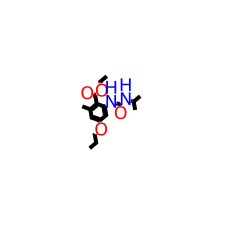 CCCOc1cc(C)c(C(=O)OCC)c(NC(=O)NC(C)C)c1